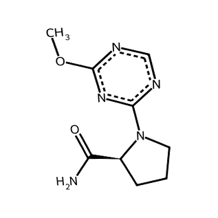 COc1ncnc(N2CCC[C@H]2C(N)=O)n1